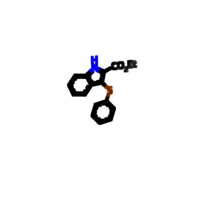 CCOC(=O)c1[nH]c2ccccc2c1Sc1ccccc1